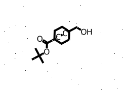 CC(C)(C)OC(=O)C12CCC(CO)(CC1)CC2